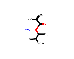 C=C(C)C(=O)OC(C)C(CC)S(=O)(=O)O.N